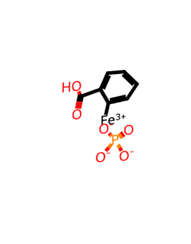 O=C(O)c1cccc[c]1[Fe+3].O=P([O-])([O-])[O-]